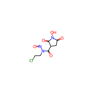 O=NN(CCCl)C(=O)C1CC(=O)N(O)C1=O